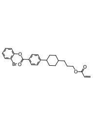 C=CC(=O)OCCCC1CCC(c2ccc(C(=O)Oc3ccccc3Br)cc2)CC1